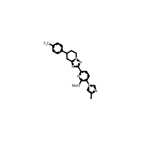 COc1nc(-c2nc3n(n2)CCC(c2ccc(C(F)(F)F)cc2)C3)ccc1-n1cnc(C)c1